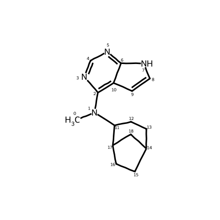 CN(c1ncnc2[nH]ccc12)C1CCC2CCC1C2